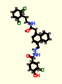 O=C(Cc1ccc(/C=N/NC(=O)c2ccc(O)c(Cl)c2)c2ccccc12)NCCc1c(Cl)cccc1Cl